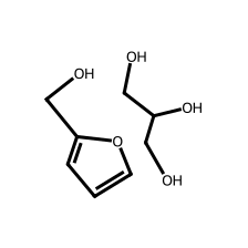 OCC(O)CO.OCc1ccco1